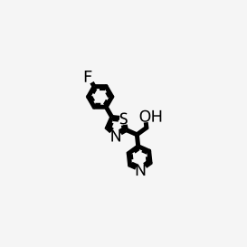 OCC(c1ccncc1)c1ncc(-c2ccc(F)cc2)s1